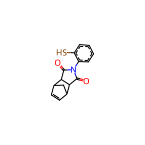 O=C1C2C3C=CC(C3)C2C(=O)N1c1ccccc1S